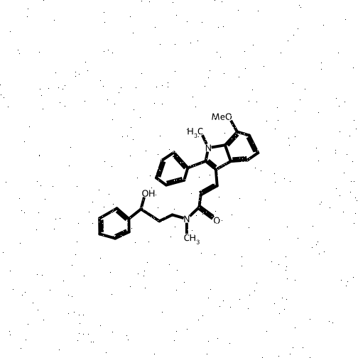 COc1cccc2c(/C=C/C(=O)N(C)CCC(O)c3ccccc3)c(-c3ccccc3)n(C)c12